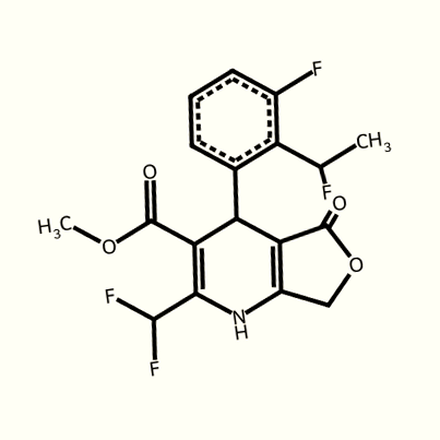 COC(=O)C1=C(C(F)F)NC2=C(C(=O)OC2)C1c1cccc(F)c1C(C)F